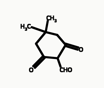 CC1(C)CC(=O)C(C=O)C(=O)C1